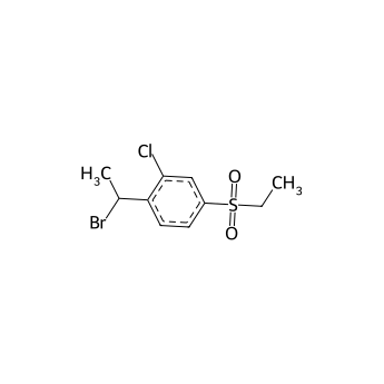 CCS(=O)(=O)c1ccc(C(C)Br)c(Cl)c1